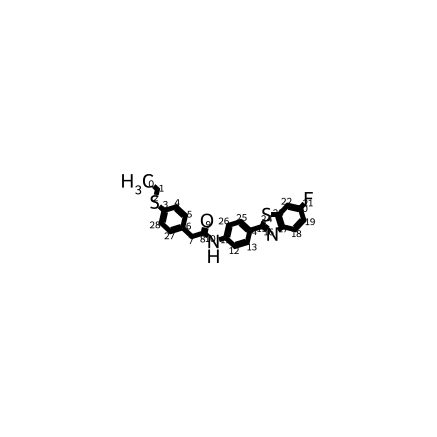 CCSc1ccc(CC(=O)Nc2ccc(-c3nc4ccc(F)cc4s3)cc2)cc1